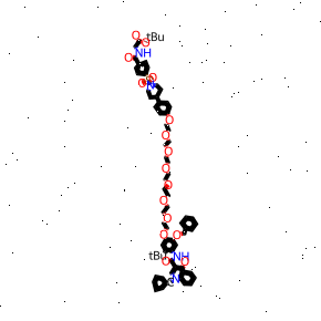 CC(C)(C)OC(=O)CNC(=O)c1ccc(S(=O)(=O)N2CCC(c3ccc(OCCOCCOCCOCCOCCOCCOCCOc4cc(C(C)(C)C)c(NC(=O)c5cn(Cc6ccccc6)c6ccccc6c5=O)cc4OCc4ccccc4)cc3)CC2)cc1